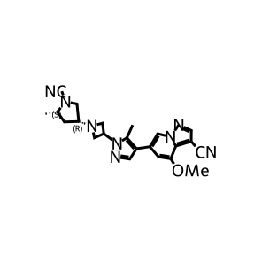 COc1cc(-c2cnn(C3CN([C@@H]4C[C@H](C)N(C#N)C4)C3)c2C)cn2ncc(C#N)c12